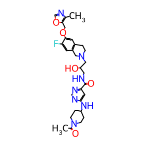 CC(=O)N1CCC(Nc2cc(C(=O)NCC(O)CN3CCc4cc(OCc5ocnc5C)c(F)cc4C3)ncn2)CC1